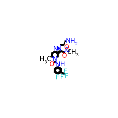 C[C@@H]1Cc2nn3c(c2CN1C(=O)Nc1ccc(F)c(C(F)(F)F)c1)C(=O)N(C)O[C@H](CN)C3